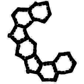 c1ccc2c(c1)ccc1oc3cc4oc5ccc6ccccc6c5c4cc3c12